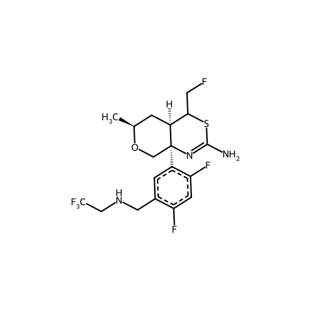 C[C@H]1C[C@H]2C(CF)SC(N)=N[C@@]2(c2cc(CNCC(F)(F)F)c(F)cc2F)CO1